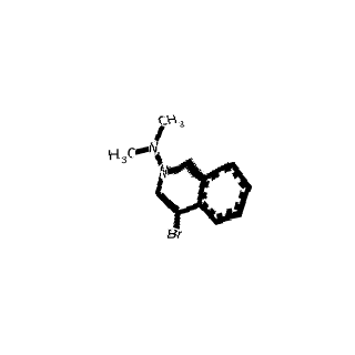 CN(C)N1C=C(Br)c2ccccc2C1